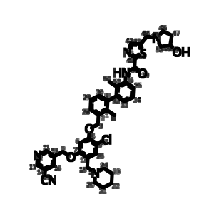 Cc1c(COc2cc(OCc3cncc(C#N)c3)c(CN3CCCCC3)cc2Cl)cccc1-c1cccc(NC(=O)c2ncc(CN3CCC(O)C3)s2)c1C